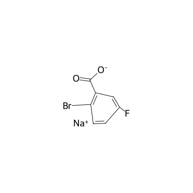 O=C([O-])c1cc(F)ccc1Br.[Na+]